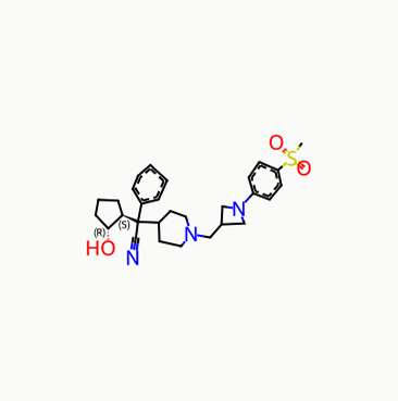 CS(=O)(=O)c1ccc(N2CC(CN3CCC(C(C#N)(c4ccccc4)[C@@H]4CCC[C@H]4O)CC3)C2)cc1